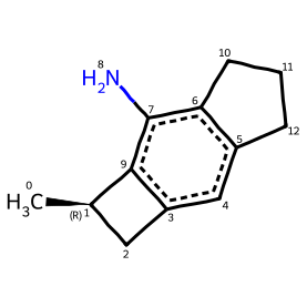 C[C@@H]1Cc2cc3c(c(N)c21)CCC3